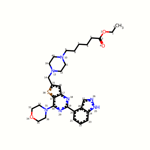 CCOC(=O)CCCCCN1CCN(Cc2cc3nc(-c4cccc5[nH]ncc45)nc(N4CCOCC4)c3s2)CC1